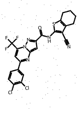 N#Cc1c(NC(=O)c2cc3nc(-c4ccc(Cl)c(Cl)c4)cc(C(F)(F)F)n3n2)sc2c1CCCC2